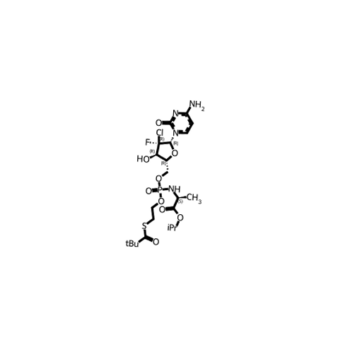 CC(C)OC(=O)[C@H](C)NP(=O)(OCCSC(=O)C(C)(C)C)OC[C@H]1O[C@@H](n2ccc(N)nc2=O)[C@](F)(Cl)[C@@H]1O